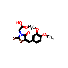 COc1ccc(C=C2SC(=S)N(CC(=O)O)C2=O)cc1OC